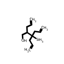 C=CCC(CO)C([SiH3])(CC=C)CC=C